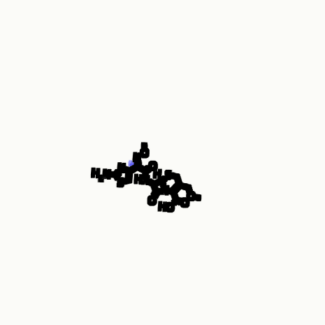 COCC1=C(C(=O)O)N2C(=O)C(NC(=O)/C(=N\OC)c3csc(N)n3)[C@H]2SC1